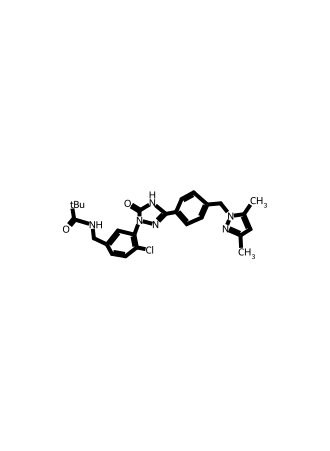 Cc1cc(C)n(Cc2ccc(-c3nn(-c4cc(CNC(=O)C(C)(C)C)ccc4Cl)c(=O)[nH]3)cc2)n1